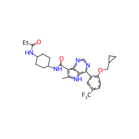 CCC(=O)NC1CCC(NC(=O)c2c(C)[nH]c3c(-c4cc(C(F)(F)F)ccc4OCC4CC4)ncnc23)CC1